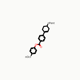 CCCCCCCCc1ccc(OC(=O)c2ccc(C3=CCC(CCCCC)CC3)cc2)cc1